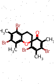 CC1=C(Br)C(C)=C(Br)C2(CCc3c(Br)c(C)c(Br)c(C)c3O2)C1=O